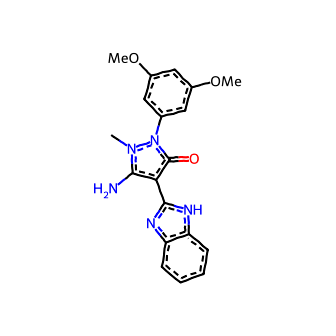 COc1cc(OC)cc(-n2c(=O)c(-c3nc4ccccc4[nH]3)c(N)n2C)c1